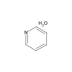 O.c1ccncc1